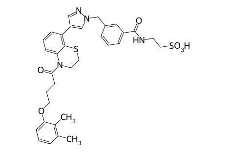 Cc1cccc(OCCCC(=O)N2CCSc3c(-c4cnn(Cc5cccc(C(=O)NCCS(=O)(=O)O)c5)c4)cccc32)c1C